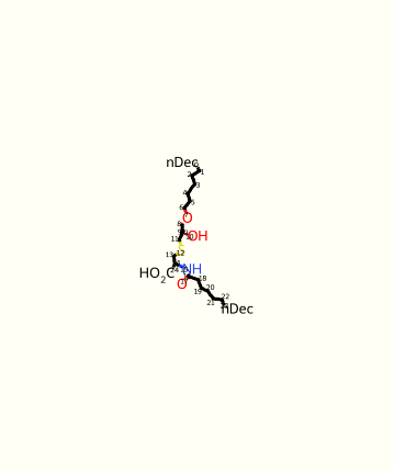 CCCCCCCCCCCCCCCCOC[C@@H](O)CSCC(NC(=O)CCCCCCCCCCCCCCC)C(=O)O